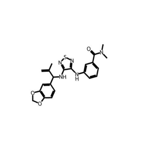 C=C(C)C(Nc1nsnc1Nc1cccc(C(=O)N(C)C)c1)c1ccc2c(c1)OCO2